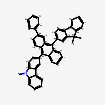 Cn1c2ccccc2c2cc(-c3c4ccccc4c(-c4ccc5c(c4)C(C)(C)c4ccccc4-5)c4cc(-c5ccccc5)ccc34)ccc21